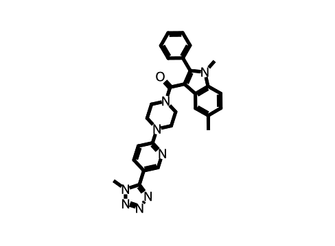 Cc1ccc2c(c1)c(C(=O)N1CCN(c3ccc(-c4nnnn4C)cn3)CC1)c(-c1ccccc1)n2C